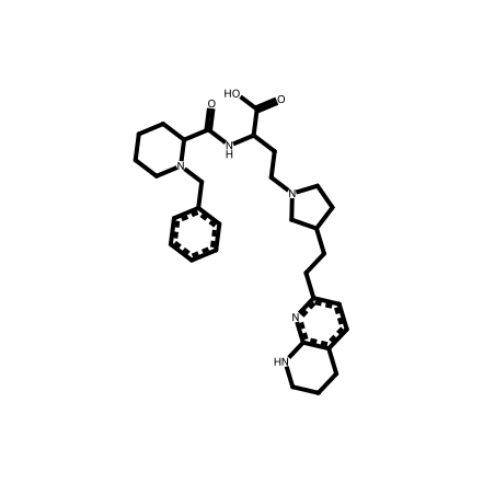 O=C(O)C(CCN1CCC(CCc2ccc3c(n2)NCCC3)C1)NC(=O)C1CCCCN1Cc1ccccc1